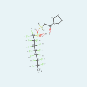 CS(C)(CC(=O)C1CCCC1)OS(=O)(=O)C(F)(F)C(F)(F)C(F)(F)C(F)(F)C(F)(F)C(F)(F)C(F)(F)C(F)(F)F